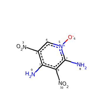 Nc1c([N+](=O)[O-])c[n+]([O-])c(N)c1[N+](=O)[O-]